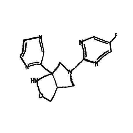 Fc1cnc(N2CC3CONC3(c3cnccn3)C2)nc1